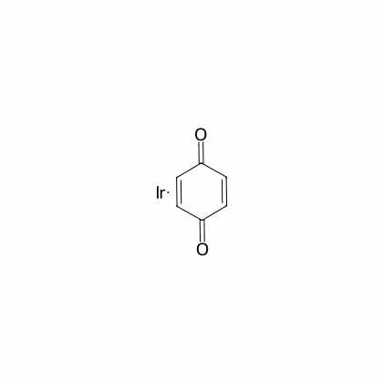 O=C1C=CC(=O)C=C1.[Ir]